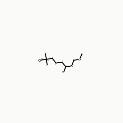 COCCC(C)CCCC(C)(C)Cl